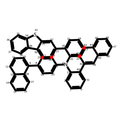 c1ccc(N(c2ccc(-c3cccc4ccccc34)cc2)c2ccccc2-c2ccc3c(c2)sc2ccccc23)c(-c2ccc3ccccc3c2)c1